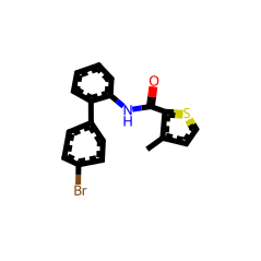 Cc1ccsc1C(=O)Nc1ccccc1-c1ccc(Br)cc1